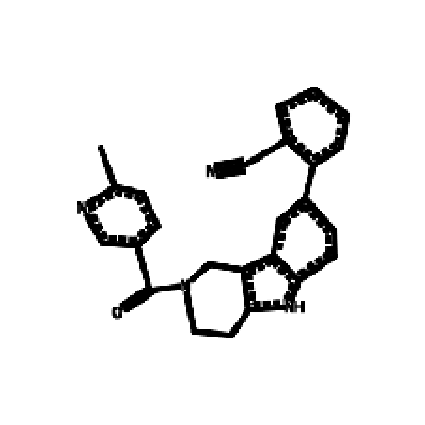 Cc1ccc(C(=O)N2CCc3[nH]c4ccc(-c5ccccc5C#N)cc4c3C2)cn1